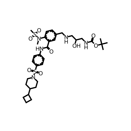 CN(c1ccc(CNCC(O)CNC(=O)OC(C)(C)C)cc1C(=O)Nc1ccc(S(=O)(=O)N2CCC(C3CCC3)CC2)cc1)S(C)(=O)=O